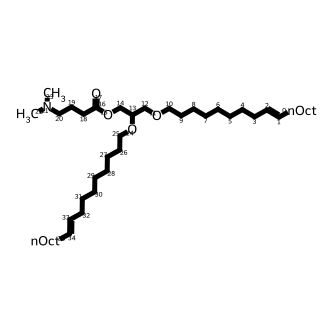 CCCCCCCCC=CCCCCCCCCOCC(COC(=O)CCCN(C)C)OCCCCCCCCC=CCCCCCCCC